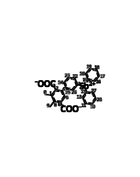 Cc1c(C(=O)[O-])ccc(C(=O)[O-])c1C.c1cc[c]([Sb+2]([c]2ccccc2)[c]2ccccc2)cc1